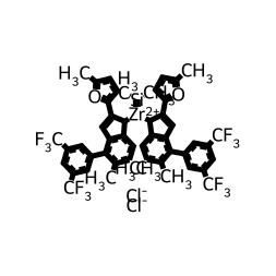 Cc1ccc(C2=Cc3c(cc(C)c(C)c3-c3cc(C(F)(F)F)cc(C(F)(F)F)c3)[CH]2[Zr+2]([CH]2C(c3ccc(C)o3)=Cc3c2cc(C)c(C)c3-c2cc(C(F)(F)F)cc(C(F)(F)F)c2)=[Si](C)C)o1.[Cl-].[Cl-]